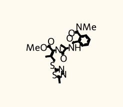 CNC(=O)c1ccccc1C(=O)NC1CN(C(C(=O)OC)=C(C)CSc2nnc(C)s2)C1=O